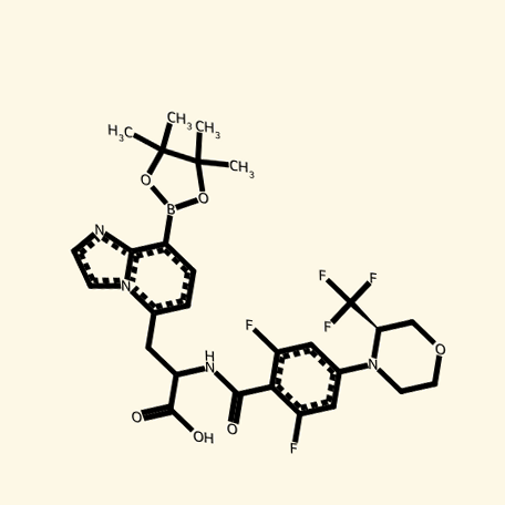 CC1(C)OB(c2ccc(CC(NC(=O)c3c(F)cc(N4CCOC[C@@H]4C(F)(F)F)cc3F)C(=O)O)n3ccnc23)OC1(C)C